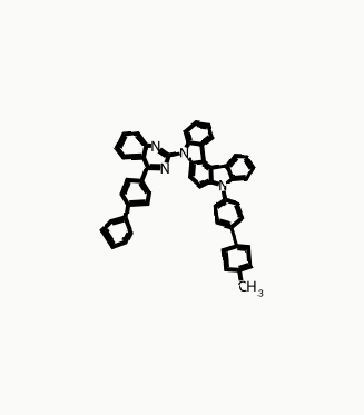 Cc1ccc(-c2ccc(-n3c4ccccc4c4c5c6ccccc6n(-c6nc(-c7ccc(-c8ccccc8)cc7)c7ccccc7n6)c5ccc43)cc2)cc1